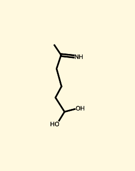 CC(=N)CCCC(O)O